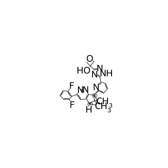 CC1(C)[C@H]2CC[C@@]1(c1cccc(-c3nc(C4(O)COC4)n[nH]3)n1)c1nnc(-c3c(F)cccc3F)cc12